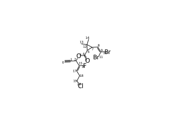 C#CC(OC(=O)C1C(C=C(Br)Br)C1(C)C)C(F)=CCCCl